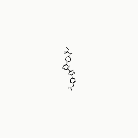 CCC(=O)N(C)C1CCN(c2cncc(-c3nnc(-c4ccc(CNC)cc4)o3)n2)CC1